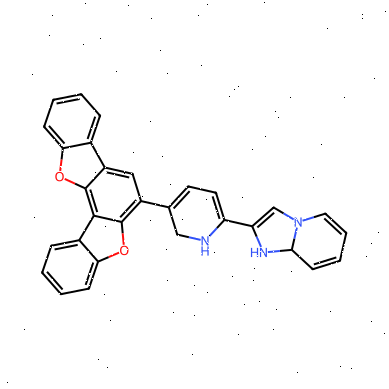 C1=CC2NC(C3=CC=C(c4cc5c6ccccc6oc5c5c4oc4ccccc45)CN3)=CN2C=C1